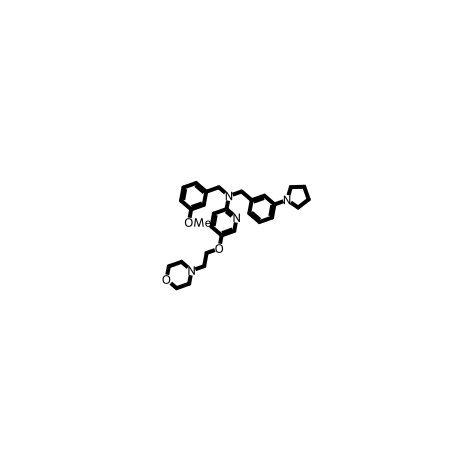 COc1cccc(CN(Cc2cccc(N3CCCC3)c2)c2ccc(OCCN3CCOCC3)cn2)c1